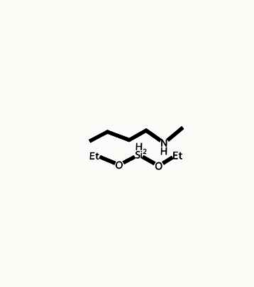 CCCCNC.CCO[SiH2]OCC